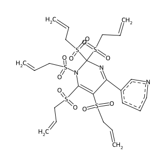 C=CCS(=O)(=O)C1=C(S(=O)(=O)CC=C)N(S(=O)(=O)CC=C)C(S(=O)(=O)CC=C)(S(=O)(=O)CC=C)N=C1c1cccnc1